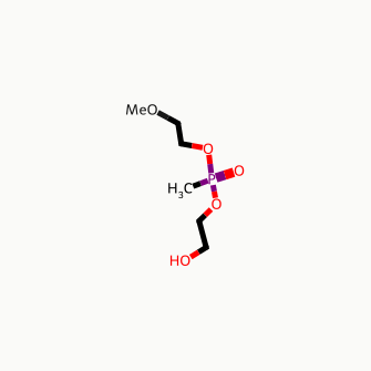 COCCOP(C)(=O)OCCO